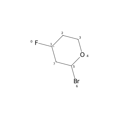 F[C]1CCOC(Br)C1